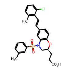 Cc1cccc(S(=O)(=O)N2C[C@H](CCC(=O)O)Oc3ccc(/C=C/c4c(Cl)cccc4C(F)(F)F)cc32)c1